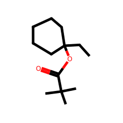 CCC1(OC(=O)C(C)(C)C)CCCCC1